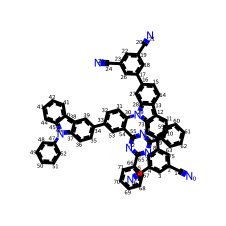 N#Cc1cc(C#N)cc(-c2ccc3c4ccc(-c5cc(C#N)cc(C#N)c5)cc4n(-c4ccc(-c5ccc6c(c5)c5ccccc5n6-c5ccccc5)cc4-c4nc(-c5ccccc5)nc(-c5ccccc5)n4)c3c2)c1